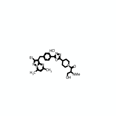 CCc1nn2c(C)cc(C)nc2c1Cc1ccc(-c2nnc(C3CCN(C(=O)C(CO)NC)CC3)o2)cc1.Cl